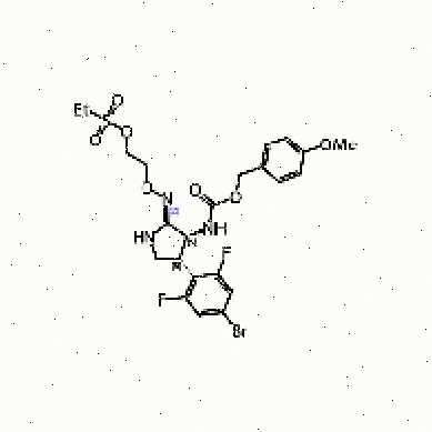 CCS(=O)(=O)OCCO/N=C1\NC[C@@H](c2c(F)cc(Br)cc2F)[C@@H]1NC(=O)OCc1ccc(OC)cc1